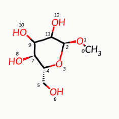 CO[C@H]1O[C@H](CO)[C@@H](O)C(O)C1O